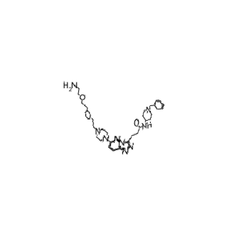 NCCOCCOCCN1CCN(c2ccc3nnc(CCC(=O)NC4CCN(Cc5ccccc5)CC4)n3n2)CC1